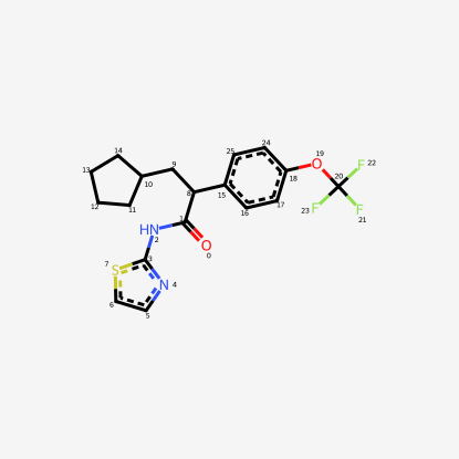 O=C(Nc1nccs1)C(CC1CCCC1)c1ccc(OC(F)(F)F)cc1